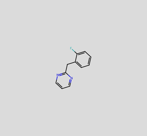 Fc1ccccc1Cc1ncccn1